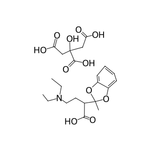 CCN(CC)CCC(C(=O)O)C1(C)Oc2ccccc2O1.O=C(O)CC(O)(CC(=O)O)C(=O)O